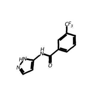 O=C(Nc1ccn[nH]1)c1cccc(C(F)(F)F)c1